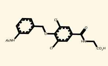 CC(=O)Nc1cccc(COc2c(Cl)cc(C(=O)NCC(=O)O)cc2Cl)c1